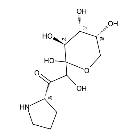 O=C(C(O)C1(O)OC[C@@H](O)[C@@H](O)[C@@H]1O)[C@@H]1CCCN1